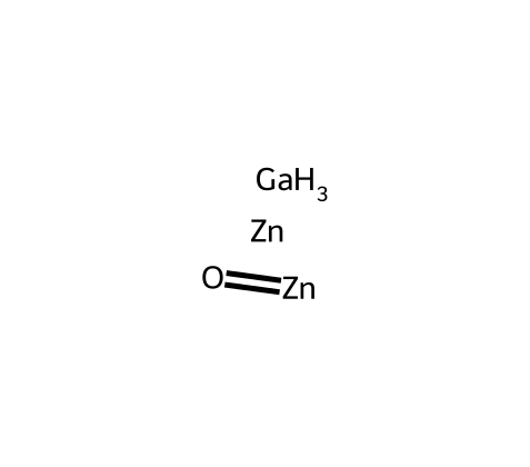 [GaH3].[O]=[Zn].[Zn]